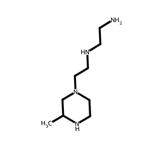 CC1CN(CCNCCN)CCN1